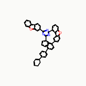 C1=CCCC(c2ccc(-c3ccc(-c4ccc5oc6cccc(-c7nc(-c8ccccc8)nc(-c8ccc9c(c8)oc8ccccc89)n7)c6c5c4)cc3)cc2)=C1